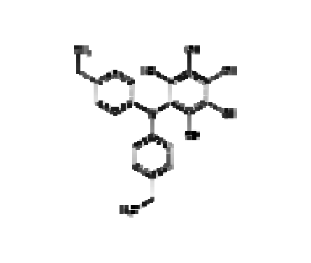 CCc1ccc(N(c2ccc(CC)cc2)c2c(O)c(O)c(O)c(O)c2O)cc1